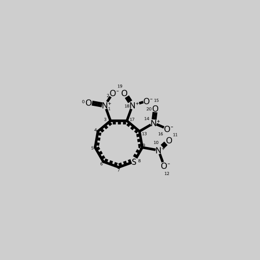 O=[N+]([O-])c1ccccsc([N+](=O)[O-])c([N+](=O)[O-])c1[N+](=O)[O-]